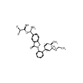 C=C/C=C\C(=C/C(C)OCC)c1ccccc1N1Cc2ccc(C(N)OC(=N)C(F)F)cc2C1=O